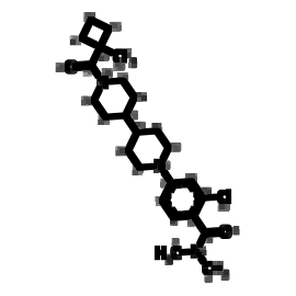 CN(C)C(=O)c1ccc(N2CCC(C3CCN(C(=O)C4(C(F)(F)F)CCC4)CC3)CC2)cc1Cl